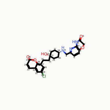 O=C1COc2ccc(CN[C@H]3CC[C@](O)(CCc4cc(Cl)cc5ccc(=O)oc45)CC3)nc2N1